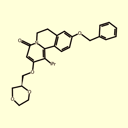 CC(C)c1c(OC[C@@H]2COCCO2)cc(=O)n2c1-c1ccc(OCc3ccccc3)cc1CC2